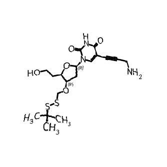 CC(C)(C)SSCO[C@@H]1C[C@H](n2cc(C#CCN)c(=O)[nH]c2=O)OC1CCO